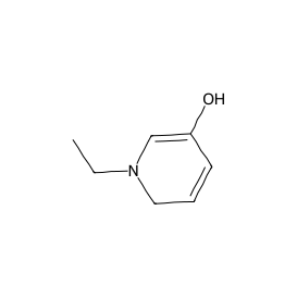 CCN1C=C(O)C=CC1